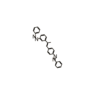 C/C(=C\c1ccc(/N=N/c2ccccc2)cc1)c1cccc(/N=N\c2ccccc2)c1